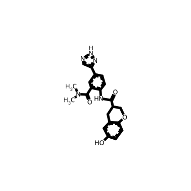 CN(C)C(=O)c1cc(-c2cn[nH]n2)ccc1NC(=O)C1COc2ccc(O)cc2C1